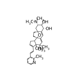 Cc1ncccc1/C=C/C1=CCC2[C@@]34CC[C@]5(C[C@H](N(C)C)[C@@H](O)[C@H](O)C5=CC3=CC(C)(C)[C@]12C)O4